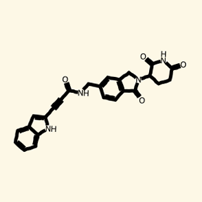 O=C(C#Cc1cc2ccccc2[nH]1)NCc1ccc2c(c1)CN(C1CCC(=O)NC1=O)C2=O